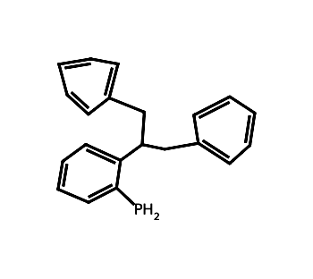 Pc1ccccc1C(Cc1ccccc1)Cc1ccccc1